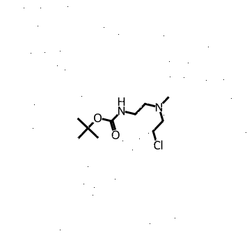 CN(CCCl)CCNC(=O)OC(C)(C)C